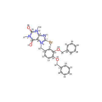 Cn1c(=O)c2c(nc(Br)n2Cc2ccc(OCc3ccccc3)c(OCc3ccccc3)c2)n(C)c1=O